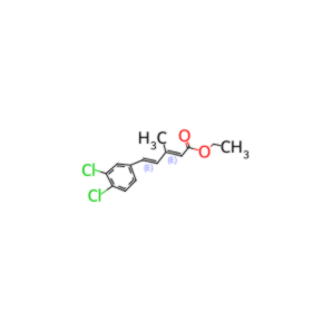 CCOC(=O)/C=C(C)/C=C/c1ccc(Cl)c(Cl)c1